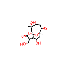 C[C@@]1(O)CCC(=O)[C@@]2(C)C[C@@H](O)C3=C(CO)C(=O)O[C@]3(C1)O2